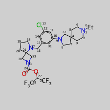 CCN1CCC2(CC1)CCN(c1cc(Cl)cc(CN3CCCC34CN(C(=O)OC(C(F)(F)F)C(F)(F)F)C4)c1)C2